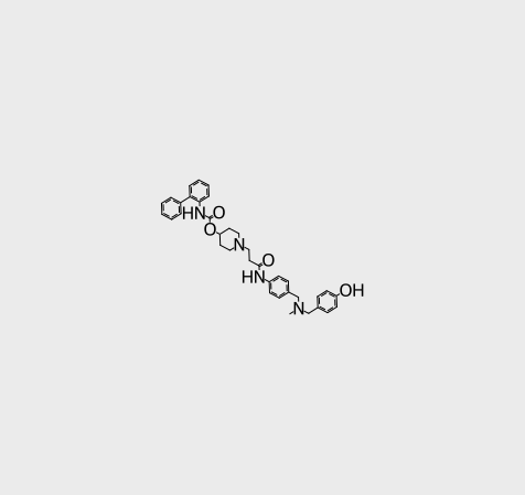 CN(Cc1ccc(O)cc1)Cc1ccc(NC(=O)CCN2CCC(OC(=O)Nc3ccccc3-c3ccccc3)CC2)cc1